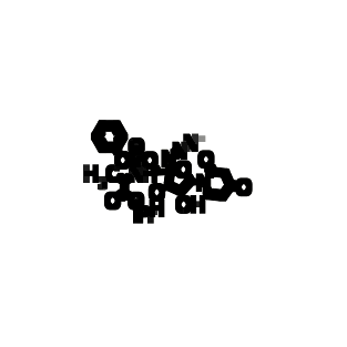 CC(C)OC(=O)C(C)NP(=O)(OC[C@@]1(N=[N+]=[N-])O[C@@H](N2C=CC(=O)CC2=O)[C@H](O)[C@@H]1O)Oc1ccccc1